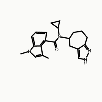 Cc1cn(C)c2cccc(C(=O)N(C3CC3)C3CCCc4n[nH]cc4C3)c12